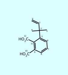 C=CC(C)(C)c1cccc(C(=O)O)c1C(=O)O